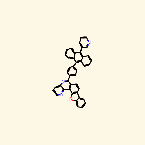 c1cncc(-c2c3ccccc3c(-c3ccc(-c4nc5cccnc5c5c4ccc4c6ccccc6oc45)cc3)c3ccccc23)c1